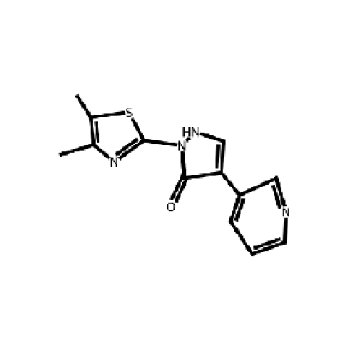 Cc1nc(-n2[nH]cc(-c3cccnc3)c2=O)sc1C